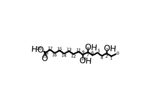 CCC(O)CCCC(O)C(O)CCCCCCCC(=O)O